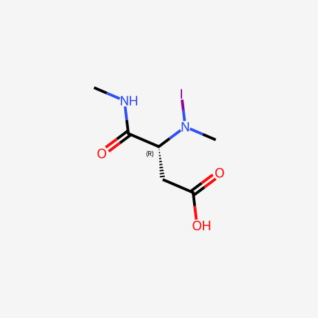 CNC(=O)[C@@H](CC(=O)O)N(C)I